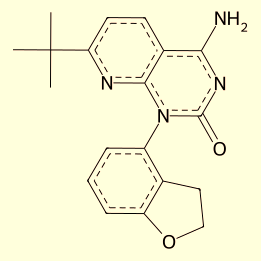 CC(C)(C)c1ccc2c(N)nc(=O)n(-c3cccc4c3CCO4)c2n1